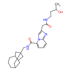 CC(O)CCNC(=O)Cc1cn2c(C(=O)NCC34CC5CCCC(C3)C(C5)C4)cccc2n1